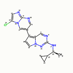 C[C@H](Nc1ncc2c(-c3cnc4ncc(Cl)n4c3)ccn2n1)C1CC1